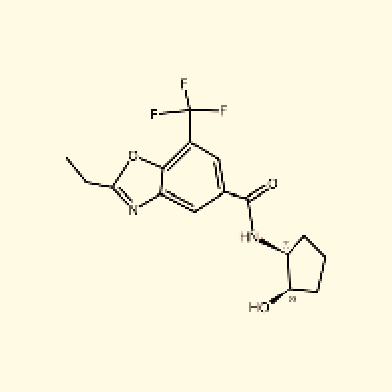 CCc1nc2cc(C(=O)N[C@H]3CCC[C@H]3O)cc(C(F)(F)F)c2o1